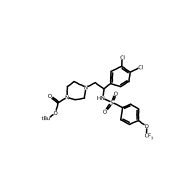 CC(C)(C)OC(=O)N1CCN(CC(NS(=O)(=O)c2ccc(OC(F)(F)F)cc2)c2ccc(Cl)c(Cl)c2)CC1